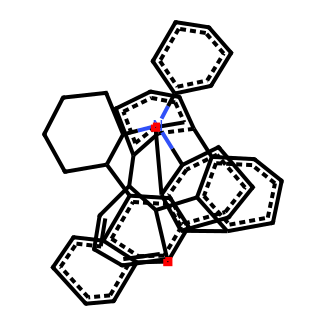 C1=CC2c3cccc4c3-c3c(cccc3N(c3ccccc3)C3CCCCC3c3cccc5ccccc35)-c3cccc-4c3C2C=C1